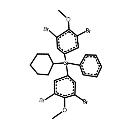 COc1c(Br)cc([Si](c2ccccc2)(c2cc(Br)c(OC)c(Br)c2)C2CCCCC2)cc1Br